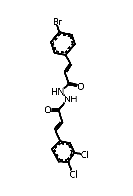 O=C(/C=C/c1ccc(Br)cc1)NNC(=O)/C=C/c1ccc(Cl)c(Cl)c1